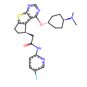 CN(C)[C@H]1CC[C@H](Oc2ncnc3sc4c(c23)[C@@H](CC(=O)Nc2ccc(F)cn2)CC4)CC1